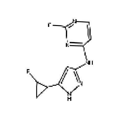 FC1CC1c1cc(Nc2ccnc(Cl)n2)n[nH]1